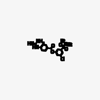 CCN(CC)S(=O)(=O)c1cc(Cl)cc(OC(=O)c2ccc(NC(=N)N)cc2)c1